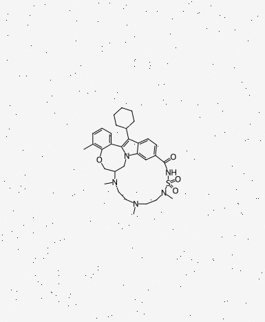 Cc1cccc2c1OCC1Cn3c-2c(C2CCCCC2)c2ccc(cc23)C(=O)NS(=O)(=O)N(C)CCN(C)CCN1C